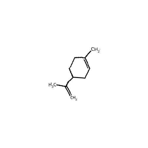 [CH2]C1=CCC(C(=C)C)CC1